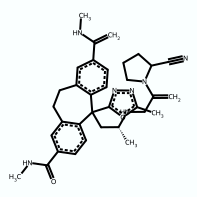 C=C(NC)c1ccc2c(c1)CCc1cc(C(=O)NC)ccc1C2(C[C@@H](C)NCC(=C)N1CCCC1C#N)c1nnc(C)o1